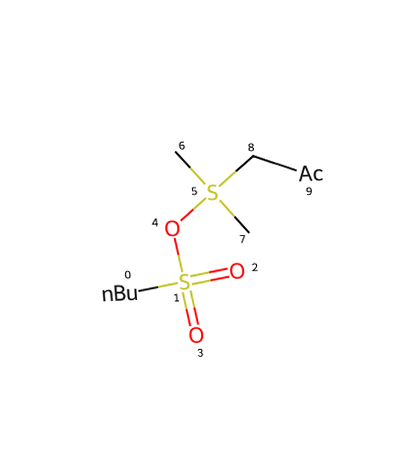 CCCCS(=O)(=O)OS(C)(C)CC(C)=O